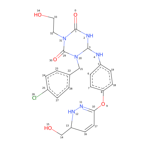 O=C1NC(Nc2ccc(OC3=NNC(CO)C=C3)cc2)N(Cc2ccc(Cl)cc2)C(=O)N1CCO